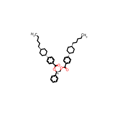 CCCCC[C@H]1CC[C@H](c2ccc(C(=O)OC[C@H](OC(=O)c3ccc([C@H]4CC[C@H](CCCCC)CC4)cc3)c3ccccc3)cc2)CC1